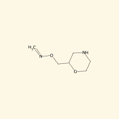 C=NOCC1CNCCO1